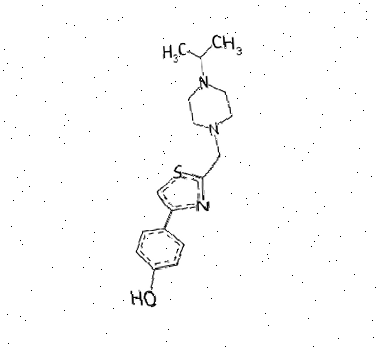 CC(C)N1CCN(Cc2nc(-c3ccc(O)cc3)cs2)CC1